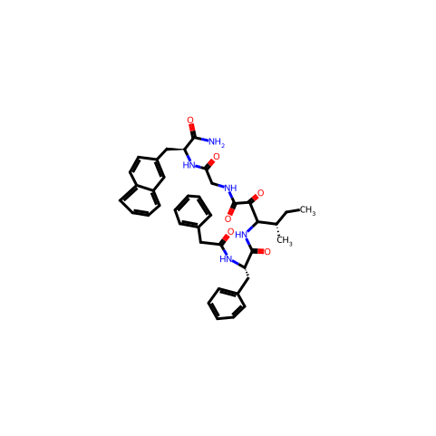 CC[C@H](C)C(NC(=O)[C@H](Cc1ccccc1)NC(=O)Cc1ccccc1)C(=O)C(=O)NCC(=O)N[C@@H](Cc1ccc2ccccc2c1)C(N)=O